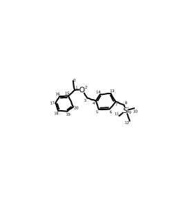 CC(OCc1ccc(C[Si](C)(C)C)cc1)c1ccccc1